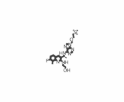 Cc1c(F)ccc2cc([C@H](C)Nc3ncnc4c3ncn4COCC[Si](C)(C)C)c(NCCO)nc12